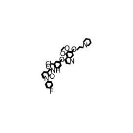 O=C(Nc1ccc(OC2=CC=NC3CC(OCCCN4CCCCC4)=C4OCCOC4=C23)cc1Cl)c1cccn(-c2ccc(F)cc2)c1=O